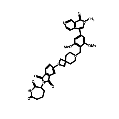 COc1cc(-c2cn(C)c(=O)c3cnccc23)cc(OC)c1CN1CCC2(CC1)CN(c1ccc3c(c1)C(=O)N(C1CCCC(=O)NC1=O)C3=O)C2